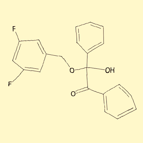 O=C(c1ccccc1)C(O)(OCc1cc(F)cc(F)c1)c1ccccc1